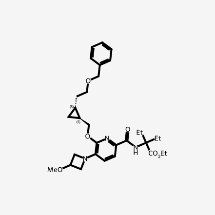 CCOC(=O)C(CC)(CC)NC(=O)c1ccc(N2CC(OC)C2)c(OC[C@H]2C[C@@H]2CCOCc2ccccc2)n1